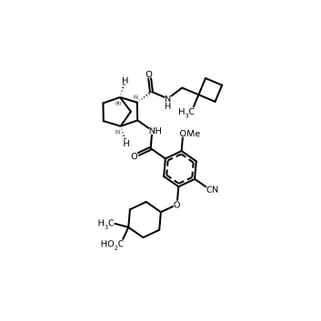 COc1cc(C#N)c(OC2CCC(C)(C(=O)O)CC2)cc1C(=O)NC1[C@H]2CC[C@H](C2)[C@@H]1C(=O)NCC1(C)CCC1